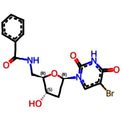 O=C(NC[C@H]1O[C@@H](n2cc(Br)c(=O)[nH]c2=O)C[C@@H]1O)c1ccccc1